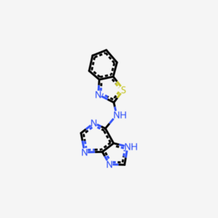 c1ccc2sc(Nc3ncnc4nc[nH]c34)nc2c1